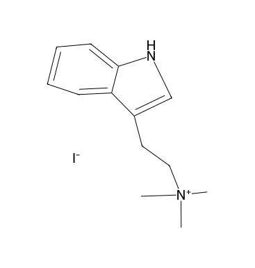 C[N+](C)(C)CCc1c[nH]c2ccccc12.[I-]